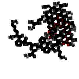 CC[C@H](C)[C@H](NC(=O)[C@H](CC(C)C)NC(=O)[C@H](CC(C)C)NC(=O)[C@H](CCCCN)NC(=O)[C@@H]1CCCN1C(=O)[C@@H]1CCCN1C(=O)[C@H](CCC(N)=O)NC(=O)CNC(=O)[C@@H]1CCCN1C(=O)[C@@H](N)CCCCN)C(=O)N[C@@H](Cc1ccc(O)cc1)C(=O)N[C@H](C(=O)N[C@H](C(=O)N[C@@H](CO)C(=O)N[C@@H](CCCNC(=N)N)C(=O)N[C@@H](CC(C)C)C(=O)N[C@@H](C)C(=O)N[C@@H](CO)C(=O)NCC(=O)N[C@H](C(=O)O)C(C)C)[C@@H](C)O)[C@@H](C)O